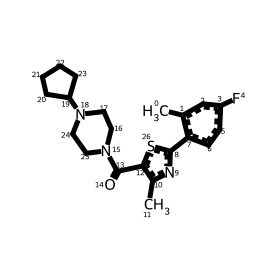 Cc1cc(F)ccc1-c1nc(C)c(C(=O)N2CCN(C3CCCC3)CC2)s1